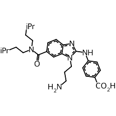 CC(C)CCN(CCC(C)C)C(=O)c1ccc2nc(Nc3ccc(C(=O)O)cc3)n(CCCN)c2c1